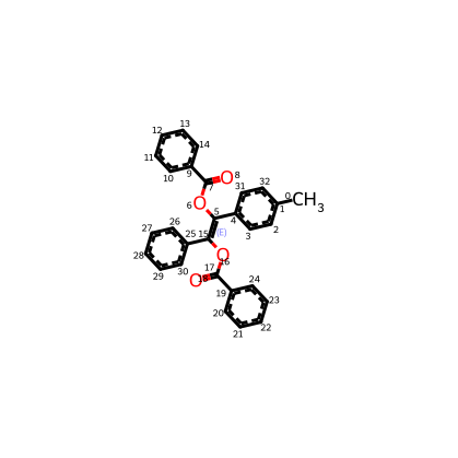 Cc1ccc(/C(OC(=O)c2ccccc2)=C(\OC(=O)c2ccccc2)c2ccccc2)cc1